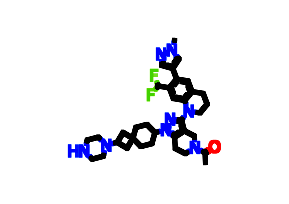 CC(=O)N1CCc2c(c(N3CCCc4cc(-c5cnn(C)c5)c(C(F)F)cc43)nn2C2CCC3(CC2)CC(N2CCNCC2)C3)C1